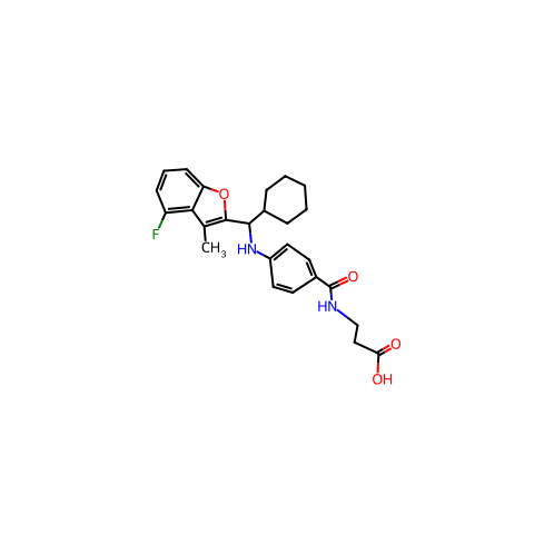 Cc1c(C(Nc2ccc(C(=O)NCCC(=O)O)cc2)C2CCCCC2)oc2cccc(F)c12